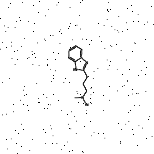 CC(=O)N(C)CCCc1nc2ccccc2[nH]1